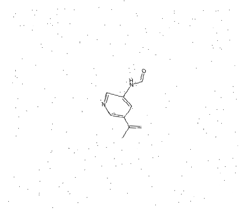 C=C(C)c1cncc(NC=O)c1